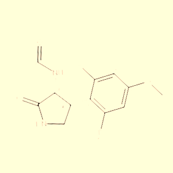 COc1cc(F)c([C@@H]2CNC(=O)[C@@H]2NC=O)c(F)c1